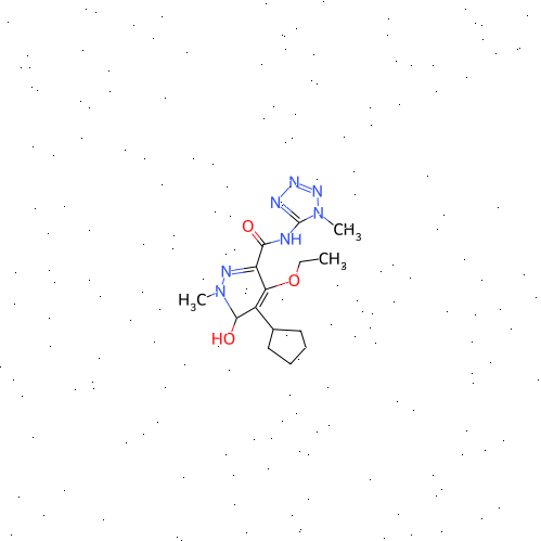 CCOC1=C(C2CCCC2)C(O)N(C)N=C1C(=O)Nc1nnnn1C